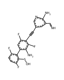 N=Cc1cc(C#Cc2c(F)cc(-c3c(F)ccc(F)c3SO)c(N)c2F)cnc1N